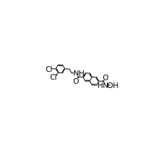 O=C(NO)c1ccc2cc(C(=O)NCCc3ccc(Cl)c(Cl)c3)ccc2c1